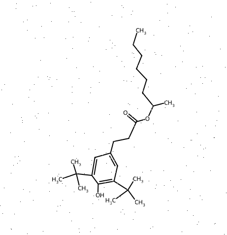 CCCCCCC(C)OC(=O)CCc1cc(C(C)(C)C)c(O)c(C(C)(C)C)c1